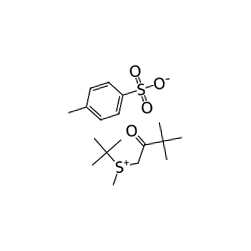 C[S+](CC(=O)C(C)(C)C)C(C)(C)C.Cc1ccc(S(=O)(=O)[O-])cc1